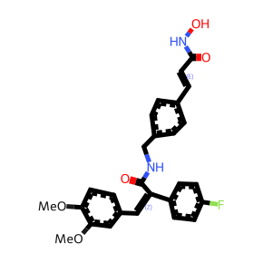 COc1ccc(/C=C(\C(=O)NCc2ccc(/C=C/C(=O)NO)cc2)c2ccc(F)cc2)cc1OC